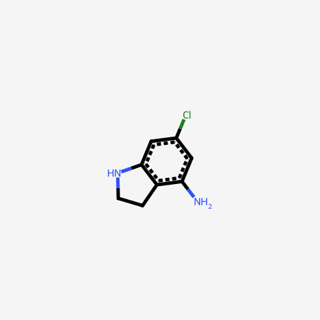 Nc1cc(Cl)cc2c1CCN2